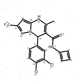 CC1=C(C(=O)NC2=CC=C2)C(c2ccc(Cl)c(Cl)c2)n2nc(C(F)(F)F)cc2N1